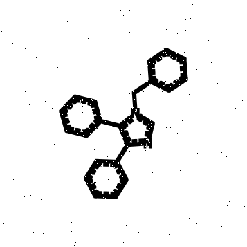 c1ccc(Cn2cnc(-c3ccccc3)c2-c2ccccc2)cc1